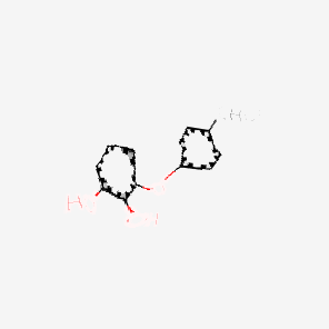 O=Cc1ccc(Oc2cccc(O)c2O)cc1